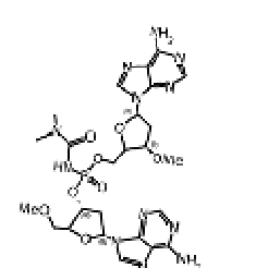 COCC1O[C@@H](n2cnc3c(N)ncnc32)C[C@H]1OP(=O)(NC(=O)N(C)C)OCC1O[C@@H](n2cnc3c(N)ncnc32)C[C@H]1OC